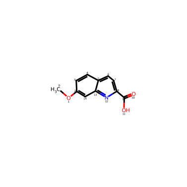 COc1ccc2ccc(C(=O)O)nc2c1